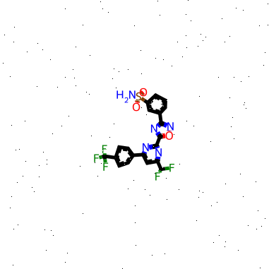 NS(=O)(=O)c1cccc(-c2noc(-c3nc(-c4ccc(C(F)(F)F)cc4)cc(C(F)F)n3)n2)c1